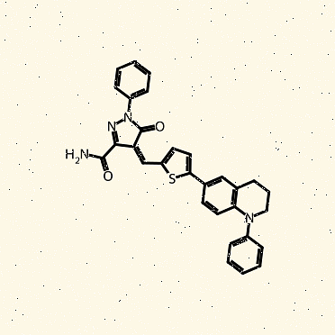 NC(=O)C1=NN(c2ccccc2)C(=O)/C1=C\c1ccc(-c2ccc3c(c2)CCCN3c2ccccc2)s1